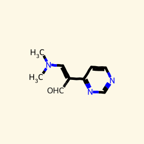 CN(C)/C=C(\C=O)c1ccncn1